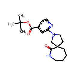 CC(C)(C)OC(=O)c1ccnc(N2CCC3(CCCCNC3=O)C2)c1